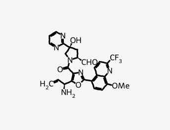 C=C[C@H](N)c1oc(-c2ccc(OC)c3nc(C(F)(F)F)ccc23)nc1C(=O)N1C[C@](O)(c2ncccn2)C[C@H]1C=O